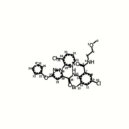 COCCNC(=O)c1cc(Cl)cc(Br)c1NC(=O)c1cc(Oc2ccsc2)nn1-c1ncccc1Cl